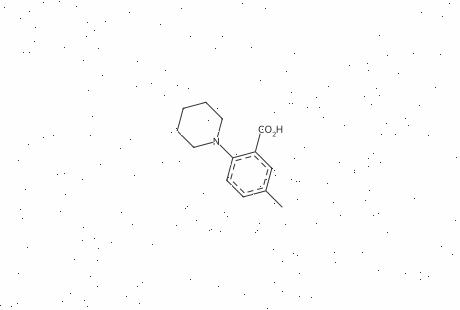 Cc1ccc(N2CCCCC2)c(C(=O)O)c1